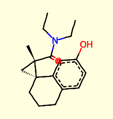 CCN(CC)C(=O)[C@@]1(C)C[C@]12CCCc1ccc(O)cc12